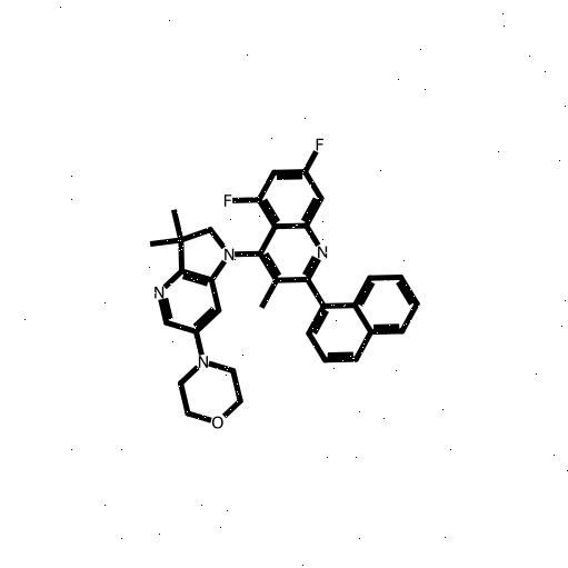 Cc1c(-c2cccc3ccccc23)nc2cc(F)cc(F)c2c1N1CC(C)(C)c2ncc(N3CCOCC3)cc21